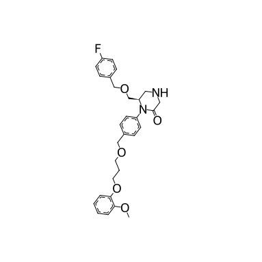 COc1ccccc1OCCCOCc1ccc(N2C(=O)CNC[C@@H]2COCc2ccc(F)cc2)cc1